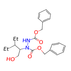 CCC(CC)C(CO)N(NC(=O)OCc1ccccc1)C(=O)OCc1ccccc1